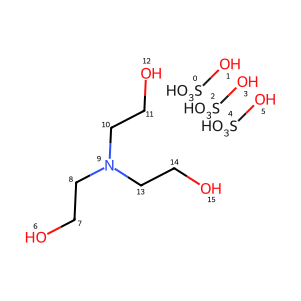 O=S(=O)(O)O.O=S(=O)(O)O.O=S(=O)(O)O.OCCN(CCO)CCO